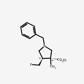 CCOC(=O)[C@@]1(C)CN(Cc2ccccc2)C[C@@H]1CF